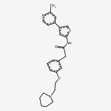 Cc1cc(-c2csc(NC(=O)Cc3cccc(OCCN4CCCCC4)c3)c2)ccn1